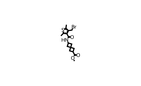 COC(=O)C1CC2(CC(NC(=O)c3c(C)sc(C)c3CBr)C2)C1